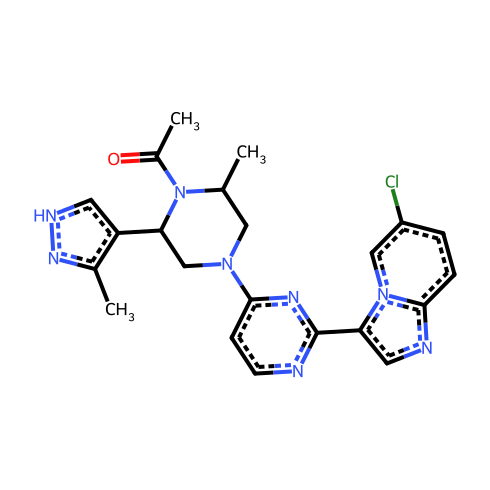 CC(=O)N1C(C)CN(c2ccnc(-c3cnc4ccc(Cl)cn34)n2)CC1c1c[nH]nc1C